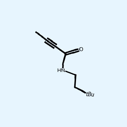 CC#CC(=O)NCCC(C)(C)C